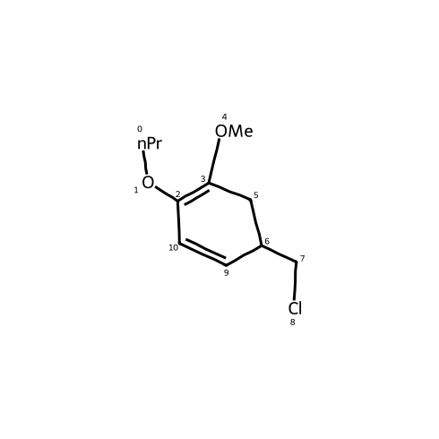 CCCOC1=C(OC)CC(CCl)C=C1